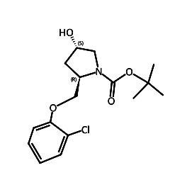 CC(C)(C)OC(=O)N1C[C@@H](O)C[C@@H]1COc1ccccc1Cl